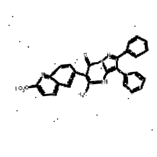 Cc1[nH]c2c(-c3ccccc3)c(-c3ccccc3)nn2c(=O)c1-c1ccc2nc(C(=O)O)ccc2c1